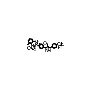 C=N/[N+](=C1/SCC(=O)N1c1c(C)cccc1C)c1ccc2c(c1)OCc1c-2nn(C)c1-c1ccc(OC(F)(F)F)cc1